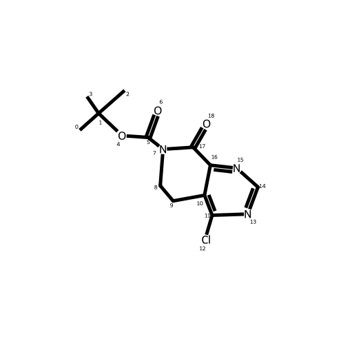 CC(C)(C)OC(=O)N1CCc2c(Cl)ncnc2C1=O